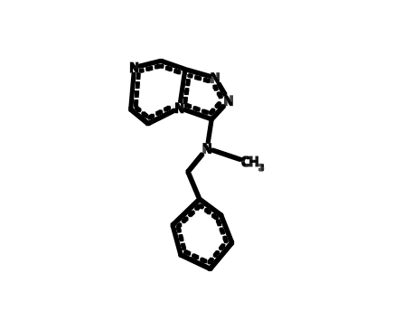 CN(Cc1ccccc1)c1nnc2cnccn12